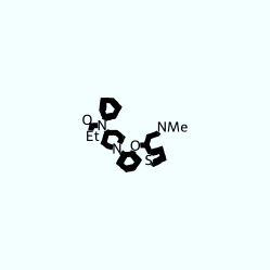 CCC(=O)N(c1ccccc1)C1CCN(c2ccccc2OC(CCNC)c2cccs2)CC1